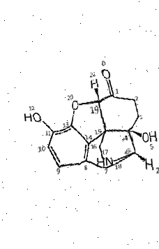 O=C1CC[C@]2(O)[C@@H]3Cc4ccc(O)c5c4C2(CCN3)[C@@H]1O5